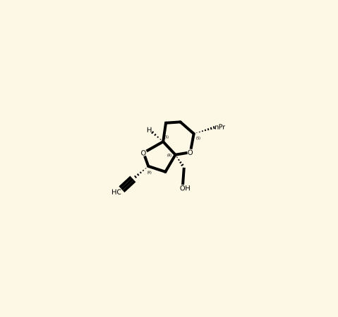 C#C[C@H]1C[C@]2(CO)O[C@@H](CCC)CC[C@@H]2O1